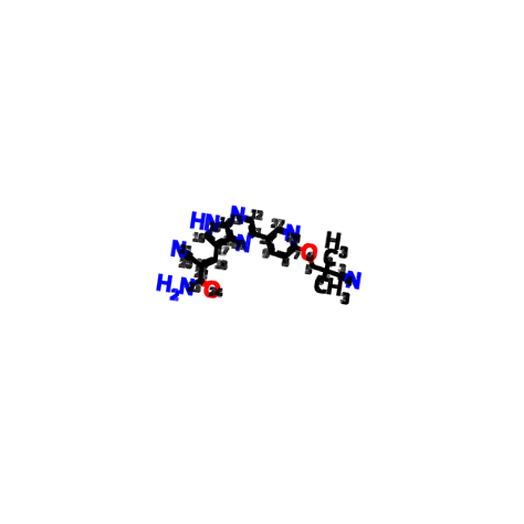 CC(C)(C#N)COc1ccc(-c2cnc3[nH]cc(/C=C(\C#N)C(N)=O)c3n2)cn1